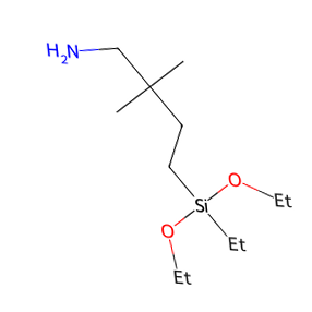 CCO[Si](CC)(CCC(C)(C)CN)OCC